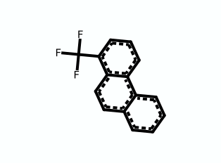 FC(F)(F)c1cccc2c1ccc1ccccc12